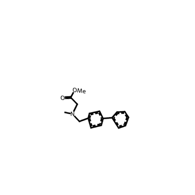 COC(=O)CN(C)Cc1ccc(-c2ccccc2)cc1